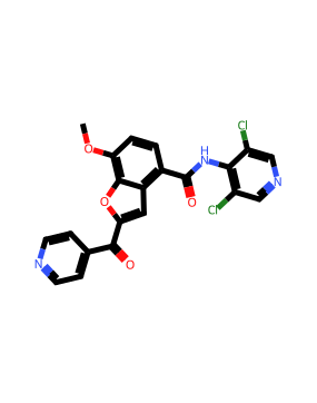 COc1ccc(C(=O)Nc2c(Cl)cncc2Cl)c2cc(C(=O)c3ccncc3)oc12